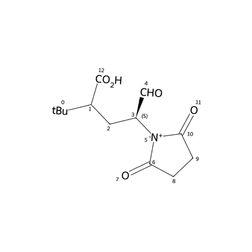 CC(C)(C)C(C[C@@H](C=O)[N+]1C(=O)CCC1=O)C(=O)O